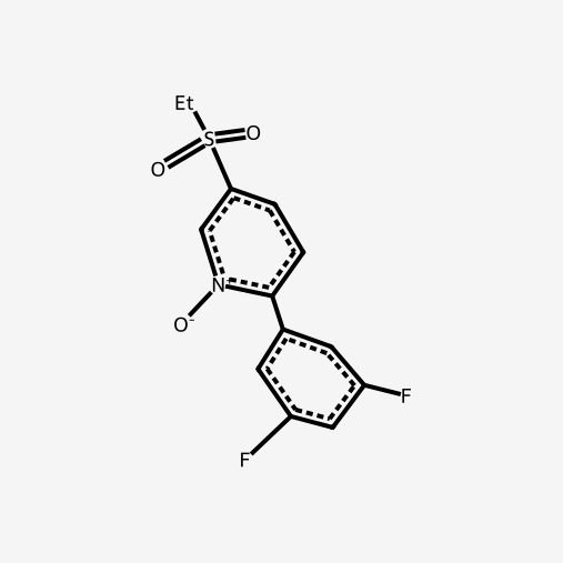 CCS(=O)(=O)c1ccc(-c2cc(F)cc(F)c2)[n+]([O-])c1